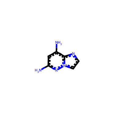 Nc1cc(N)c2nccn2n1